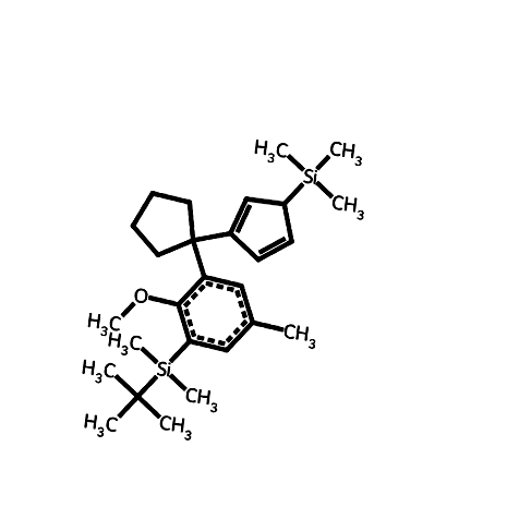 COc1c(C2(C3=CC([Si](C)(C)C)C=C3)CCCC2)cc(C)cc1[Si](C)(C)C(C)(C)C